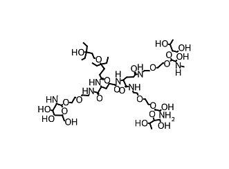 CCC(O)(CC)CCOC(CC)(CC)CCC(=O)NC(CCC(=O)NC(CCC(=O)NCCOCCOC(OC(CO)C(C)O)C(O)NC)C(=O)NCCOCCOC(OC(CO)C(C)O)C(N)O)C(=O)NCCOCCOC1OC(CO)C(O)C(O)C1NC